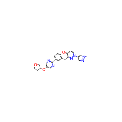 Cn1cc(-n2ccc(=O)c(Cc3cccc(-c4ncc(OC5CCOC5)cn4)c3)n2)cn1